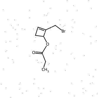 CCC(=O)OC1CC=C1CBr